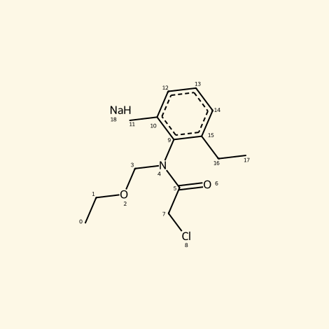 CCOCN(C(=O)CCl)c1c(C)cccc1CC.[NaH]